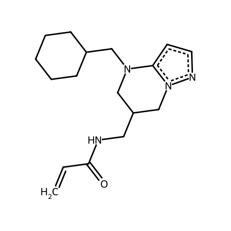 C=CC(=O)NCC1CN(CC2CCCCC2)c2ccnn2C1